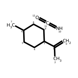 C=C(C)C1CCC(C)CC1.N=C=O